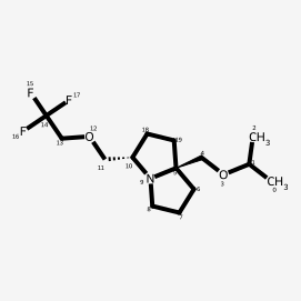 CC(C)OC[C@@]12CCCN1[C@H](COCC(F)(F)F)CC2